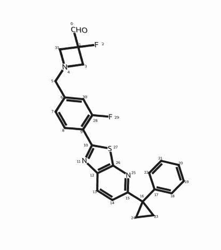 O=CC1(F)CN(Cc2ccc(-c3nc4ccc(C5(c6ccccc6)CC5)nc4s3)c(F)c2)C1